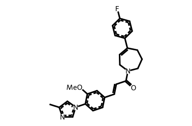 COc1cc(/C=C/C(=O)N2CC=C(c3ccc(F)cc3)CCC2)ccc1-n1cnc(C)c1